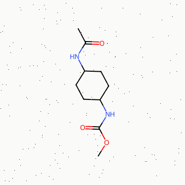 COC(=O)NC1CCC(NC(C)=O)CC1